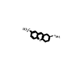 CCCCC[C@H]1CCc2nc3ccc(C(=O)O)cc3cc2C1